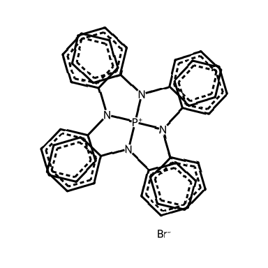 [Br-].c1ccc(N(c2ccccc2)[P+](N(c2ccccc2)c2ccccc2)(N(c2ccccc2)c2ccccc2)N(c2ccccc2)c2ccccc2)cc1